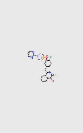 O=c1[nH]nc(Cc2ccc(F)c([PH]3(O)CCN(c4ncccn4)CC3)c2)c2ccccc12